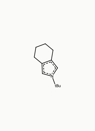 CC(C)(C)n1cc2c(c1)CCCC2